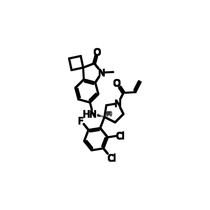 C=CC(=O)N1CC[C@@](Nc2ccc3c(c2)N(C)C(=O)C32CCC2)(c2c(F)ccc(Cl)c2Cl)C1